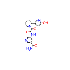 C[C@@H]1CC[C@@H](c2ccc(O)nc2)N(C(=O)C(=O)Nc2cncc(C(N)=O)c2)C1